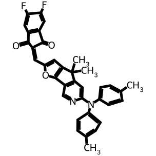 Cc1ccc(N(c2ccc(C)cc2)c2cc3c(cn2)-c2oc(C=C4C(=O)c5cc(F)c(F)cc5C4=O)cc2C3(C)C)cc1